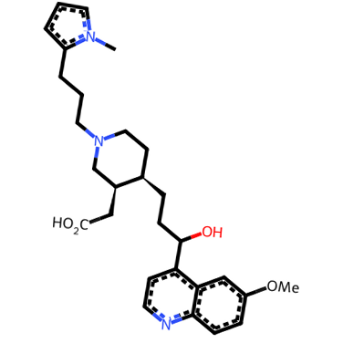 COc1ccc2nccc(C(O)CC[C@@H]3CCN(CCCc4cccn4C)C[C@@H]3CC(=O)O)c2c1